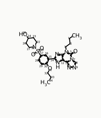 CCCCn1c(=O)n2cnnc2c2[nH]c(-c3cc(S(=O)(=O)N4CCC(O)CC4)ccc3OCCC)nc21